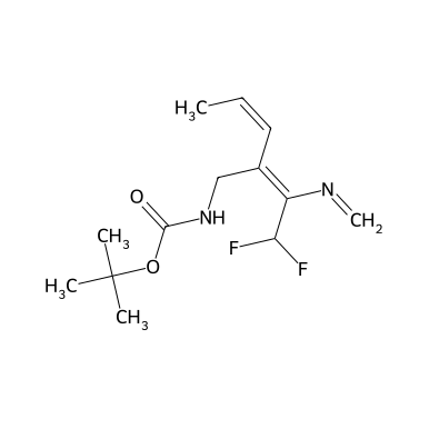 C=N/C(=C(\C=C/C)CNC(=O)OC(C)(C)C)C(F)F